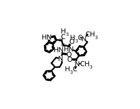 C[C@@H](c1c[nH]c2ccccc12)[C@@H](NC(=O)N1CCC(c2ccccc2)CC1)C(=O)Nc1cc(CN(C)C)ccc1C(=O)N(C)C